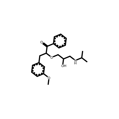 COc1cccc(CC(OCC(O)CNC(C)C)C(=O)c2ccccc2)c1